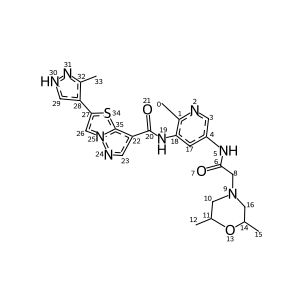 Cc1ncc(NC(=O)CN2CC(C)OC(C)C2)cc1NC(=O)c1cnn2cc(-c3c[nH]nc3C)sc12